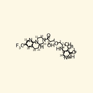 C[C@@H](COC[C@H](O)C(=O)N1CCN2c3ncc(C(F)(F)F)cc3CC[C@@H]2C1)Nc1cn[nH]c(=O)c1C(F)(F)F